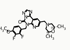 COc1ccc(Cn2c(=O)n3ncnc3c3cc(CN4C[C@@H](C)O[C@@H](C)C4)cnc32)c(F)c1F